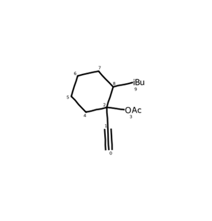 C#CC1(OC(C)=O)CCCCC1C(C)CC